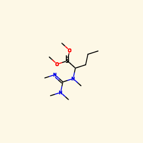 CCCC(N(C)/C(=N/C)N(C)C)[SiH](OC)OC